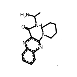 CC(N)NC(=O)c1nc2ccccc2nc1N1CCCCC1